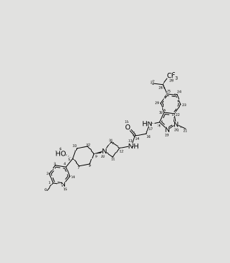 Cc1ccc([C@]2(O)CC[C@H](N3CC(NC(=O)CNc4nn(C)c5ccc(C(C)C(F)(F)F)cc45)C3)CC2)cn1